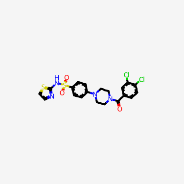 O=C(c1ccc(Cl)c(Cl)c1)N1CCN(c2ccc(S(=O)(=O)Nc3nccs3)cc2)CC1